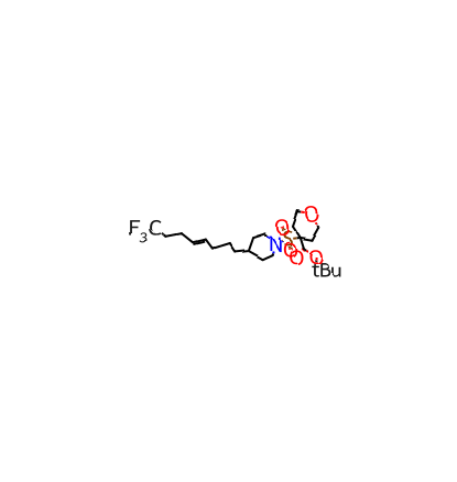 CC(C)(C)OC(=O)C1(S(=O)(=O)N2CCC(CCCC=CCCC(F)(F)F)CC2)CCOCC1